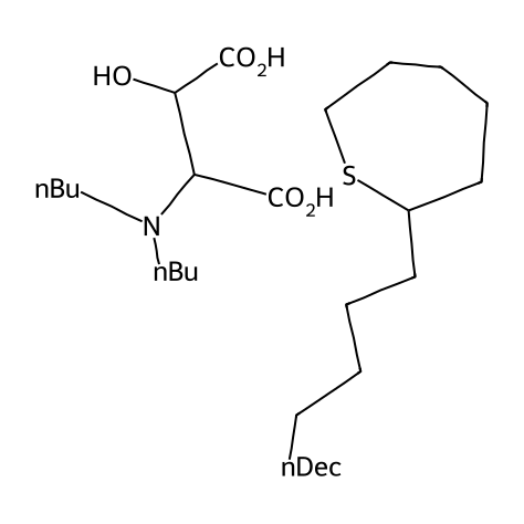 CCCCCCCCCCCCCCC1CCCCCS1.CCCCN(CCCC)C(C(=O)O)C(O)C(=O)O